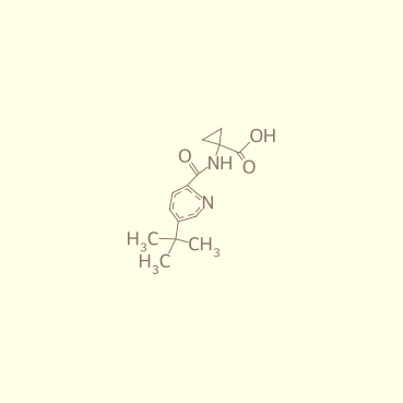 CC(C)(C)c1ccc(C(=O)NC2(C(=O)O)CC2)nc1